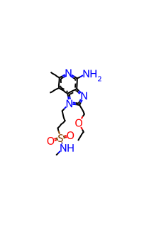 CCOCc1nc2c(N)nc(C)c(C)c2n1CCCS(=O)(=O)NC